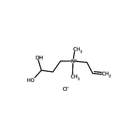 C=CC[N+](C)(C)CCC(O)O.[Cl-]